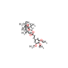 COc1cc(C=CC(=O)OCCC(C)[Si](C)(O[Si](C)(C)C)O[Si](C)(C)C)cc(OC)c1OC